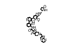 COc1nc(-c2ccnc(-c3cccc(NC(=O)c4nc5c(n4C)CCN(Cc4cn6cccnc6n4)C5)c3Cl)c2Cl)ccc1CNC[C@@H]1CCC(=O)N1